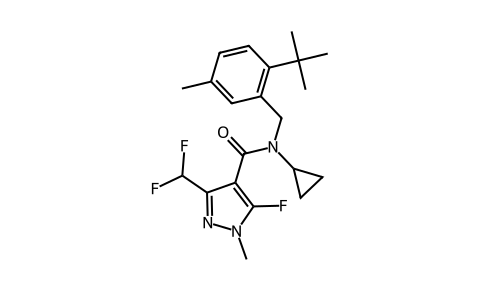 Cc1ccc(C(C)(C)C)c(CN(C(=O)c2c(C(F)F)nn(C)c2F)C2CC2)c1